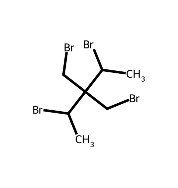 CC(Br)C(CBr)(CBr)C(C)Br